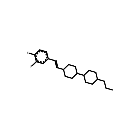 CCCC1CCC(C2CCC(C=Cc3ccc(F)c(F)c3)CC2)CC1